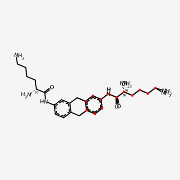 NCCCC[C@@H](N)C(=O)Nc1ccc2c(c1)C1c3cc(NC(=O)[C@H](N)CCCCN)ccc3C2c2ccc(NC(=O)[C@H](N)CCCCN)cc21